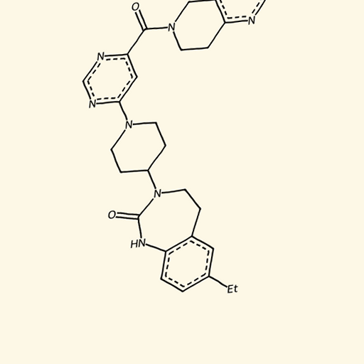 CCc1ccc2c(c1)CCN(C1CCN(c3cc(C(=O)N4CCc5ncccc5C4)ncn3)CC1)C(=O)N2